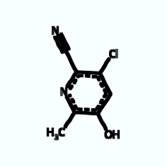 Cc1nc(C#N)c(Cl)cc1O